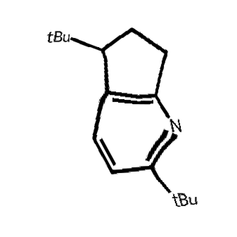 CC(C)(C)c1ccc2c(n1)CCC2C(C)(C)C